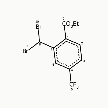 CCOC(=O)c1ccc(C(F)(F)F)cc1C(Br)Br